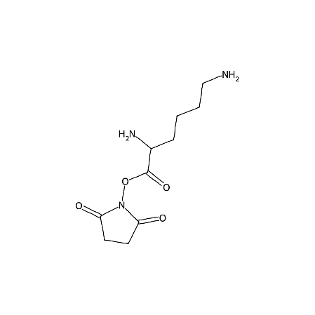 NCCCCC(N)C(=O)ON1C(=O)CCC1=O